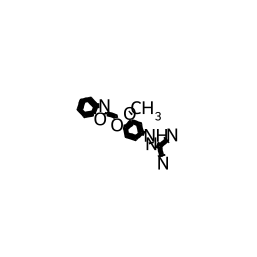 COc1cc(NN=C(C#N)C#N)ccc1OCc1nc2ccccc2o1